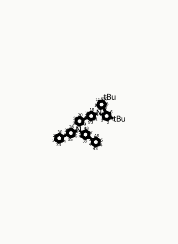 CC(C)(C)c1ccc2c(c1)c1cc(C(C)(C)C)ccc1n2-c1ccc(-c2cccc(N(c3ccc(-c4ccccc4)cc3)c3ccc(-c4ccccc4)cc3)c2)cc1